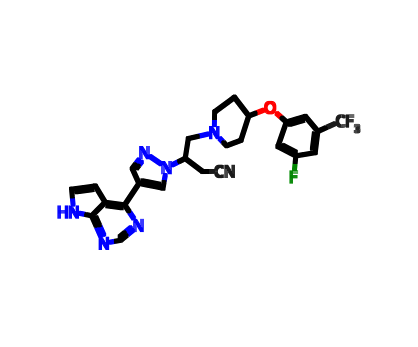 N#CCC(CN1CCC(Oc2cc(F)cc(C(F)(F)F)c2)CC1)n1cc(-c2ncnc3[nH]ccc23)cn1